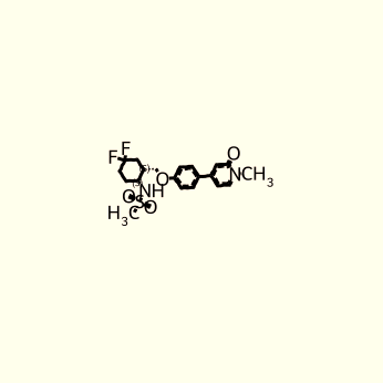 Cn1ccc(-c2ccc(OC[C@H]3CC(F)(F)CC[C@@H]3NS(C)(=O)=O)cc2)cc1=O